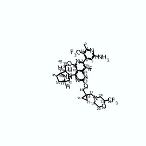 Cc1nc(N)cc(-c2nc3c4c(nc(OCC5(CN6CCOC(C(F)(F)F)C6)CC5)nc4c2F)N2C[C@H]4CC[C@H](N4)[C@H]2[C@H](C)O3)c1C(F)(F)F